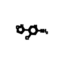 Nc1cc(Cl)c(-c2ccon2)cn1